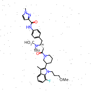 COCCCn1c(C2CCCN(C(=O)C[C@@H](Cc3ccc(NC(=O)c4ccn(C)n4)cc3)N(C(=O)O)C(C)(C)C)C2)c(C)c2cccc(F)c21